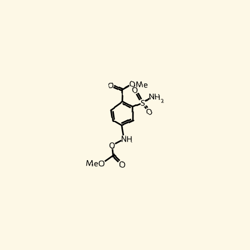 COC(=O)ONc1ccc(C(=O)OC)c(S(N)(=O)=O)c1